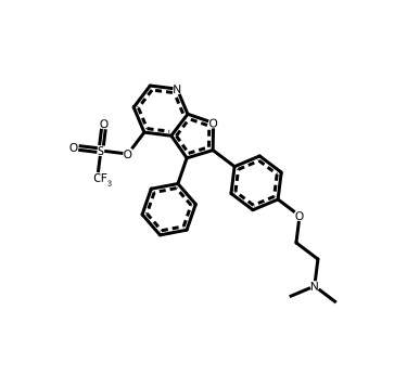 CN(C)CCOc1ccc(-c2oc3nccc(OS(=O)(=O)C(F)(F)F)c3c2-c2ccccc2)cc1